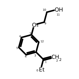 [CH2]CC(=C)c1cccc(OCCO)c1